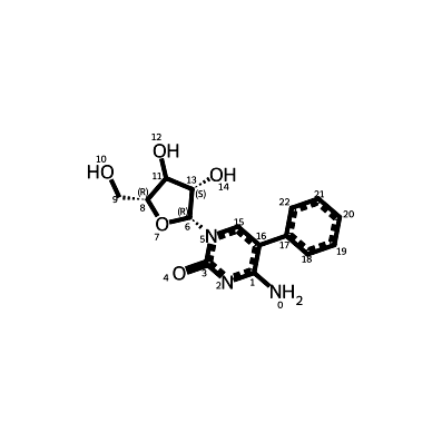 Nc1nc(=O)n([C@@H]2O[C@H](CO)C(O)[C@@H]2O)cc1-c1ccccc1